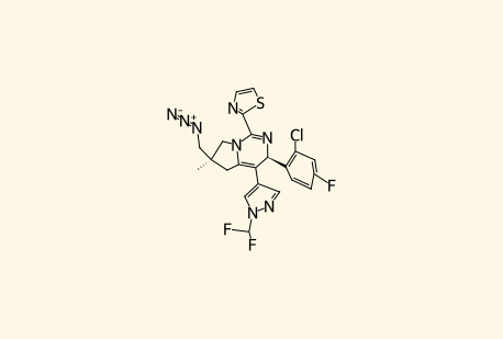 C[C@@]1(CN=[N+]=[N-])CC2=C(c3cnn(C(F)F)c3)[C@H](c3ccc(F)cc3Cl)N=C(c3nccs3)N2C1